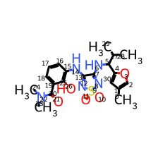 Cc1coc(C(NC2=NS(=O)(=O)N=C2Nc2cccc(C(=O)N(C)C)c2O)C(C)C)c1